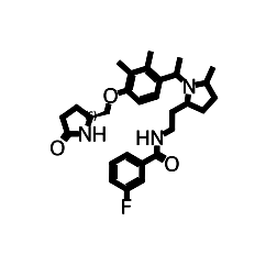 Cc1c(OC[C@@H]2CCC(=O)N2)ccc(C(C)N2C(C)CCC2CCNC(=O)c2cccc(F)c2)c1C